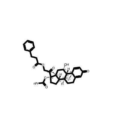 CCCC(=O)O[C@@]1(C(=O)COC(=O)CCc2ccccc2)CC[C@H]2[C@@H]3CCC4=CC(=O)C=C[C@]4(C)[C@H]3[C@@H](O)C[C@@]21C